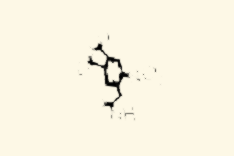 NC(=O)Cc1cc2c(cc1[N+](=O)[O-])C(=O)OC2=O